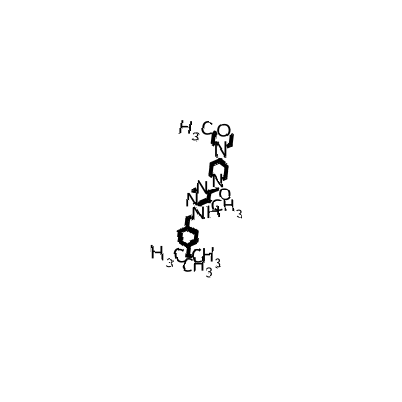 Cc1c(NCc2ccc(C(C)(C)C)cc2)ncnc1C(=O)N1CCC(N2CCOC(C)C2)CC1